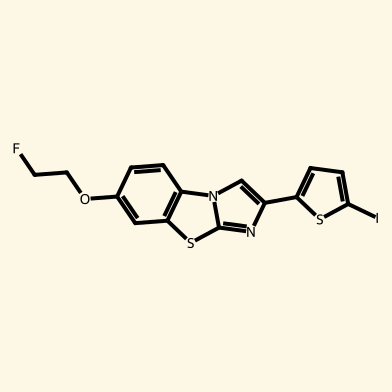 FCCOc1ccc2c(c1)sc1nc(-c3ccc(I)s3)cn12